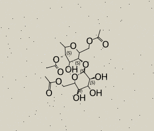 CC(=O)OCC1O[C@@H](O[C@@H]2C(COC(C)=O)OC(C)[C@@H](OC(C)=O)C2O)[C@@H](O)C(O)[C@H]1O